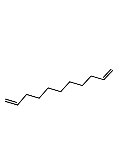 C=CCCCCCCCC=C